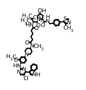 COc1cc(N2CCC(N(C)C(=O)CCCCC(=O)NC(C(=O)N3C[C@H](O)C[C@H]3C(=O)NCc3ccc(-c4scnc4C)cc3)C(C)(C)C)CC2)ccc1Nc1ncc(Cl)c(-c2c[nH]c3ccccc23)n1